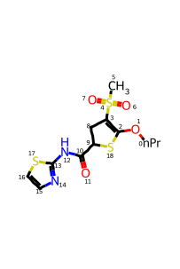 CCCOC1=C(S(C)(=O)=O)CC(C(=O)Nc2nccs2)S1